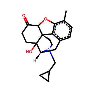 Cc1ccc2c3c1OC1C(=O)CCC4(O)[C@@H](C2)N(CC2CC2)CC[C@]314